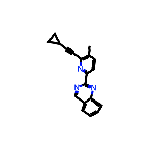 Cc1ccc(-c2ncc3ccccc3n2)nc1C#CC1CC1